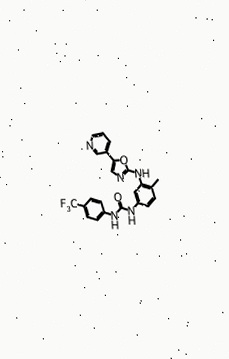 Cc1ccc(NC(=O)Nc2ccc(C(F)(F)F)cc2)cc1Nc1ncc(-c2cccnc2)o1